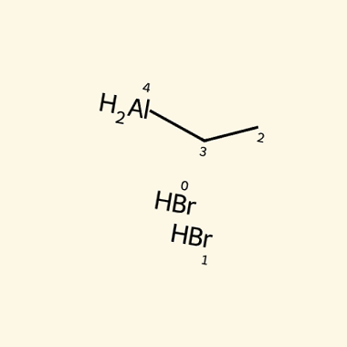 Br.Br.C[CH2][AlH2]